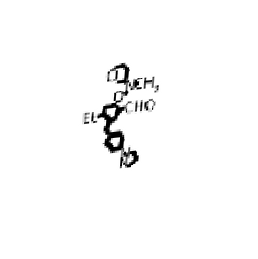 CCc1cc(OCN(C)C2CCCOC2)c(C=O)cc1Cc1ccc(-n2cccn2)cc1